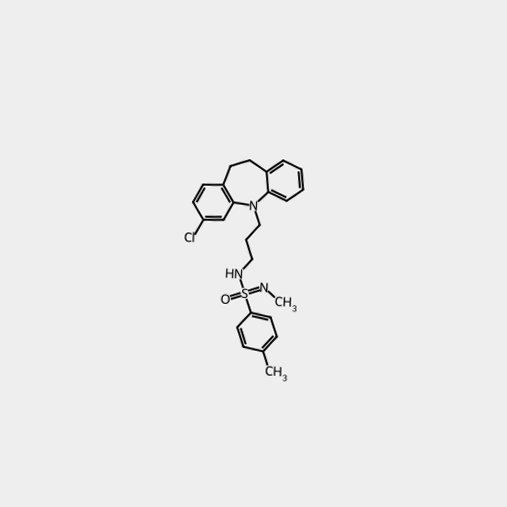 CN=S(=O)(NCCCN1c2ccccc2CCc2ccc(Cl)cc21)c1ccc(C)cc1